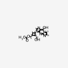 CC(=O)OC[C@H]1C[C@@H](n2cnc3c(O)n4ccnc4nc32)[C@@H]1CO